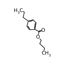 CCCCOC(=O)c1ccc(CCC)cc1